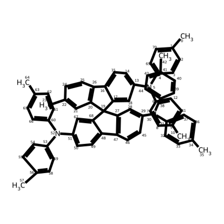 Cc1ccc(N(c2ccc(C)cc2)c2ccc3c(c2)C2(c4cc(C)ccc4-3)c3cc(N(c4ccc(C)cc4)c4ccc(C)cc4)ccc3-c3ccc(N(c4ccc(C)cc4)c4ccc(C)cc4)cc32)cc1